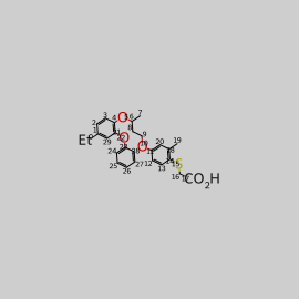 CCc1ccc(OC(C)CCOc2ccc(SCC(=O)O)c(C)c2)c(Oc2ccccc2)c1